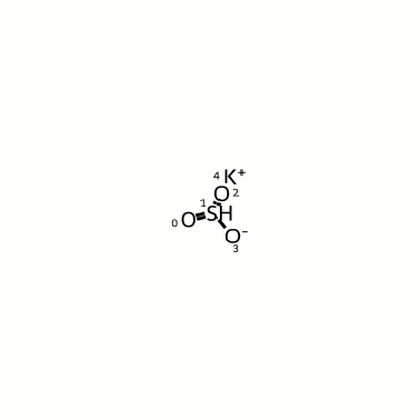 O=[SH](=O)[O-].[K+]